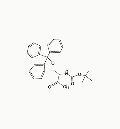 CC(C)(C)OC(=O)NC(COC(c1ccccc1)(c1ccccc1)c1ccccc1)C(=O)O